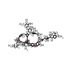 CN[C@H](CC(C)C)C(=O)N[C@H]1C(=O)N[C@@H](CC(N)=O)C(=O)N[C@H]2C(=O)N[C@@H](C(N)=O)c3ccc(O)c(c3)-c3c(O)cc(O)cc3C(C(=O)N3C4C(C(O)C5(O)C6C(C(=O)Nc7ccc(OC)c(C(N)=O)c7O)C65)C43)NC(=O)C[C@H](O)c3ccc(c(Cl)c3)Oc3cc2cc(c3OC2O[C@@H](CO)[C@@H](O)[C@H](O)[C@@H]2O[C@@H]2CC(=N)[C@H](O)[C@@H](C)O2)Oc2ccc(cc2Cl)[C@H]1O